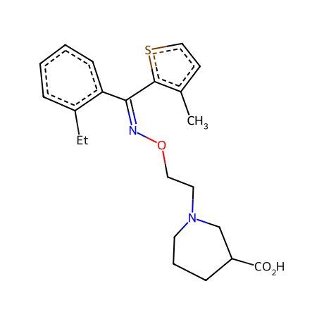 CCc1ccccc1C(=NOCCN1CCCC(C(=O)O)C1)c1sccc1C